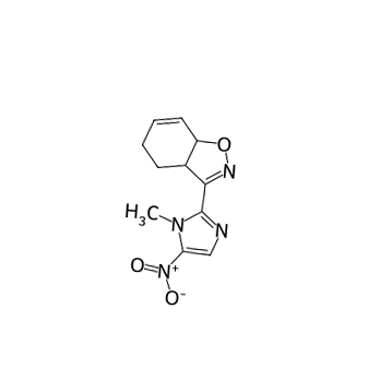 Cn1c([N+](=O)[O-])cnc1C1=NOC2C=CCCC12